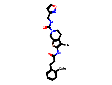 COc1ccccc1CCC(=O)Nc1sc2c(c1C#N)CCN(C(=O)NCc1ccon1)C2